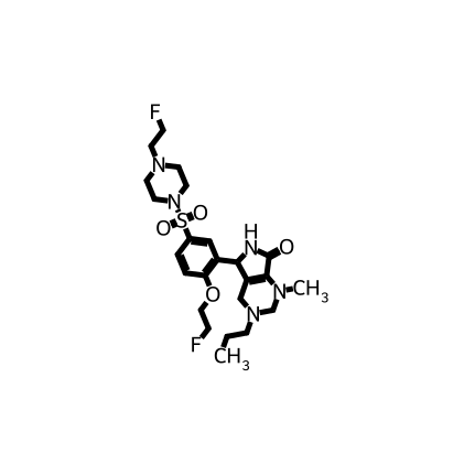 CCCN1CC2=C(C(=O)NC2c2cc(S(=O)(=O)N3CCN(CCF)CC3)ccc2OCCF)N(C)C1